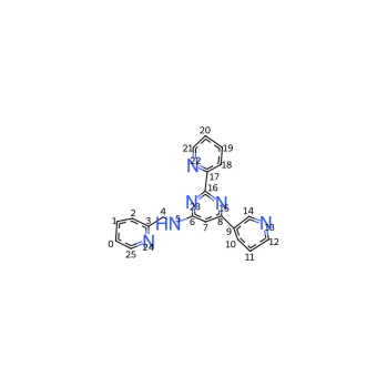 c1ccc(CNc2cc(-c3cccnc3)nc(-c3ccccn3)n2)nc1